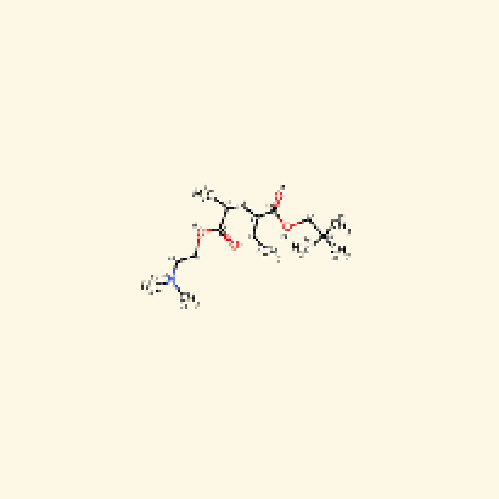 CCC(CC(C)C(=O)OCCN(C)C)C(=O)OCC(C)(C)C